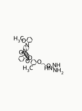 COc1ccccc1N1CCN(S(=O)(=O)c2ccccc2S(=O)(=O)Oc2cc(C)cc(OCCCONC(=N)N)c2)CC1